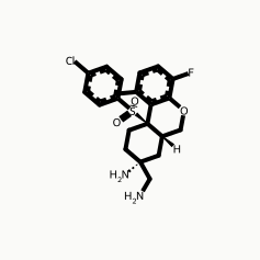 NC[C@@]1(N)CC[C@]2(S(=O)(=O)c3ccc(Cl)cc3)c3c(F)ccc(F)c3OC[C@@H]2C1